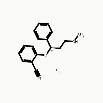 CNCC[C@@H](Oc1ccccc1C#N)c1ccccc1.Cl